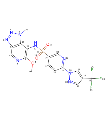 COc1ncc2nnn(C)c2c1NS(=O)(=O)c1ccc(-n2cc(C(F)(F)F)cn2)nc1